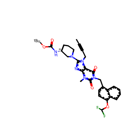 CC#CCn1c(N2CCC[C@@H](NC(=O)OC(C)(C)C)C2)nc2c1c(=O)n(Cc1ccc(OC(F)F)c3ccccc13)c(=O)n2C